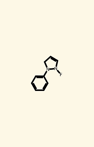 FN1C=CCN1c1ccccc1